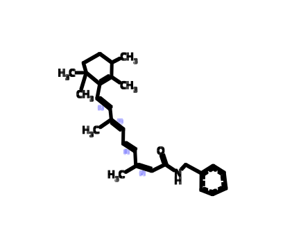 CC1=C(/C=C/C(C)=C/C=C/C(C)=C\C(=O)NCc2ccccc2)C(C)(C)CCC1C